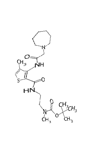 Cc1csc(C(=O)NCCN(C)C(=O)OC(C)(C)C)c1NC(=O)CN1CCCCCC1